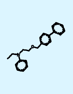 CCN(CCOCc1ccc(-c2[c]cccc2)cc1)c1ccccc1